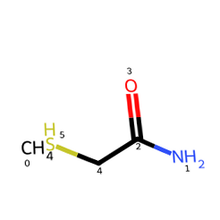 C.NC(=O)CS